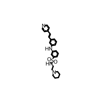 O=S(=O)(NCCN1CCCCC1)c1cccc(Nc2cccc(/C=C/c3ccncc3)c2)c1